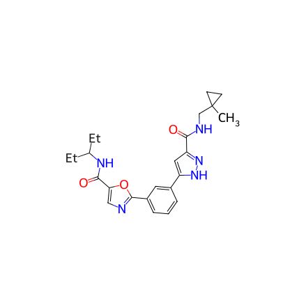 CCC(CC)NC(=O)c1cnc(-c2cccc(-c3cc(C(=O)NCC4(C)CC4)n[nH]3)c2)o1